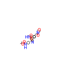 CCNS(=O)(=O)c1cc(CC(=O)N2CCOCC2)ccc1-c1cnc([C@H]2CC[C@H](NC(=O)OC(C)C)CC2)s1